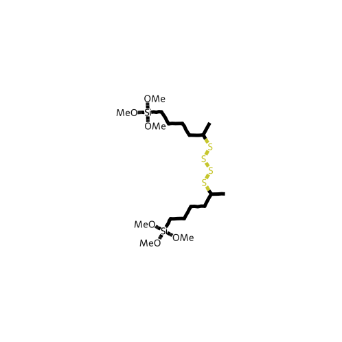 CO[Si](CCCCC(C)SSSSC(C)CCCC[Si](OC)(OC)OC)(OC)OC